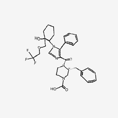 O=C(O)N1CCN(C(=O)c2ncn(C3CCCCC3(O)COCC(F)(F)F)c2-c2ccccc2)[C@H](Cc2ccccc2)C1